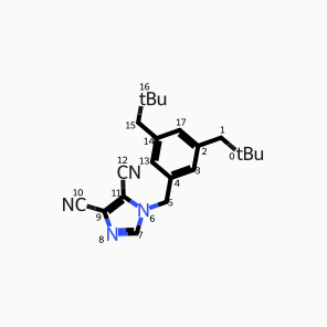 CC(C)(C)Cc1cc(Cn2cnc(C#N)c2C#N)cc(CC(C)(C)C)c1